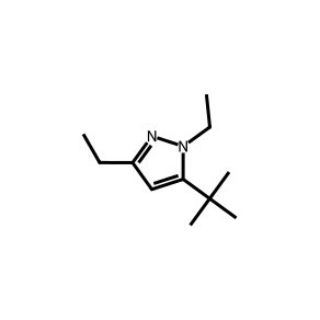 CCc1cc(C(C)(C)C)n(CC)n1